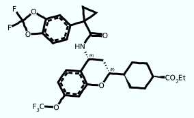 CCOC(=O)[C@H]1CC[C@@H]([C@H]2C[C@@H](NC(=O)C3(c4ccc5c(c4)OC(F)(F)O5)CC3)c3ccc(OC(F)(F)F)cc3O2)CC1